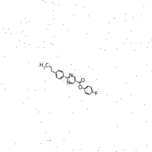 CCCc1ccc(-c2ncc(C(=O)Oc3ccc(F)cc3)cn2)cc1